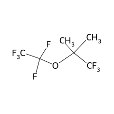 CC(C)(OC(F)(F)C(F)(F)F)C(F)(F)F